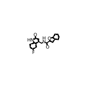 O=C(NCc1cc(=O)[nH]c2ccc(F)cc12)c1cc2ccccc2o1